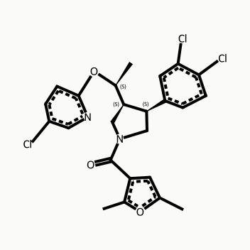 Cc1cc(C(=O)N2C[C@@H]([C@H](C)Oc3ccc(Cl)cn3)[C@@H](c3ccc(Cl)c(Cl)c3)C2)c(C)o1